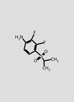 CC(C)S(=O)(=O)c1ccc(N)c(F)c1F